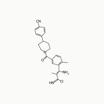 C/C(C(=N)Cl)=C(/N)c1cc(C(=O)N2CCC(c3ccc(C#N)cc3)CC2)ccc1C